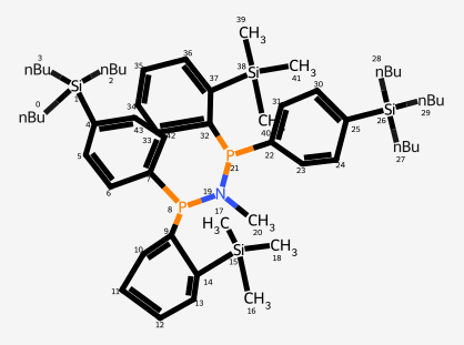 CCCC[Si](CCCC)(CCCC)c1ccc(P(c2ccccc2[Si](C)(C)C)N(C)P(c2ccc([Si](CCCC)(CCCC)CCCC)cc2)c2ccccc2[Si](C)(C)C)cc1